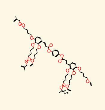 C=C=C(C)OOCCCCOc1c(/C=C/C(=O)Oc2ccc(OC(=O)/C=C/c3ccc(OCCCCOOCC(=C)C)c(OCCCCOOCC(=C)C)c3OCCCCOC=C)cc2)ccc(OCCCCOC=C)c1OCCCCOC=C